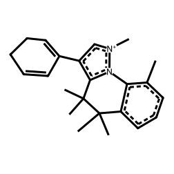 Cc1cccc2c1-n1c(c(C3=CCCC=C3)c[n+]1C)C(C)(C)C2(C)C